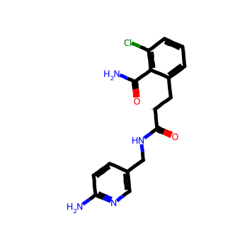 NC(=O)c1c(Cl)cccc1C[CH]C(=O)NCc1ccc(N)nc1